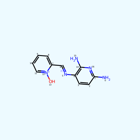 Nc1ccc(/N=C/c2cccc[n+]2O)c(N)n1